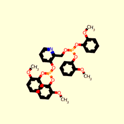 COc1ccccc1OP(OCc1ncccc1OP(Oc1ccccc1OC)Oc1ccccc1OC)Oc1ccccc1OC